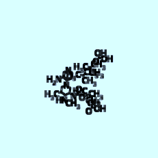 CC(C)C.CC(C)C.CN[C@H]1[C@@H](C)CN(c2ccncc2N)C[C@H]1NC(=O)OC(C)(C)C.O=C(O)O.O=C(O)O